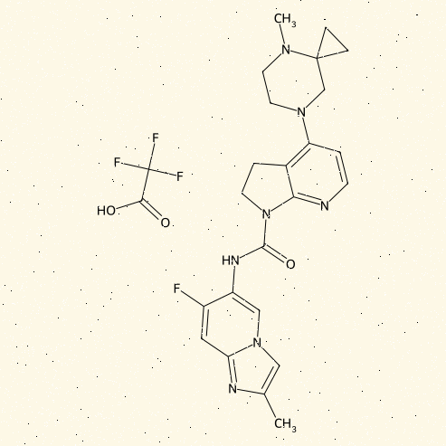 Cc1cn2cc(NC(=O)N3CCc4c(N5CCN(C)C6(CC6)C5)ccnc43)c(F)cc2n1.O=C(O)C(F)(F)F